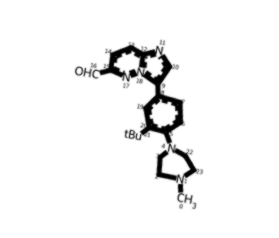 CN1CCN(c2ccc(-c3cnc4ccc(C=O)nn34)cc2C(C)(C)C)CC1